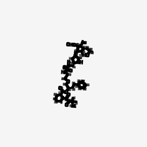 CCC(C)(C)C(=O)C(=O)N1CCCC[C@H]1C(=O)O[C@H](CCc1cccnc1)COCCNS(=O)(=O)NC[C@@H]1C[C@H](SC2=C(C=O)N(C(C)=O)[C@@H](C[C@@H](C)O)[C@H]2C)CN1